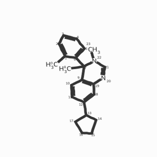 Cc1ccccc1C1(C)c2ccc(C3CCCC3)cc2N=CN1C